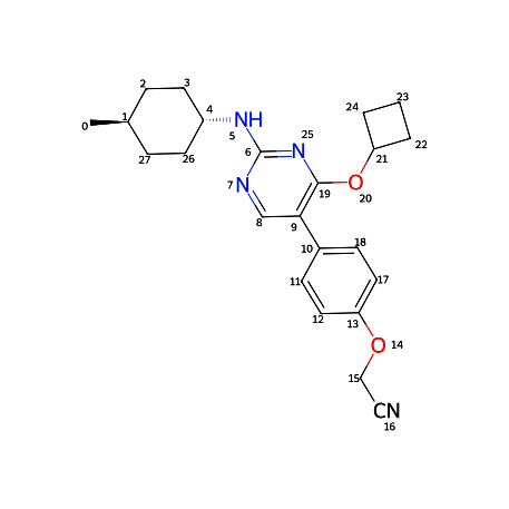 C[C@H]1CC[C@H](Nc2ncc(-c3ccc(OCC#N)cc3)c(OC3CCC3)n2)CC1